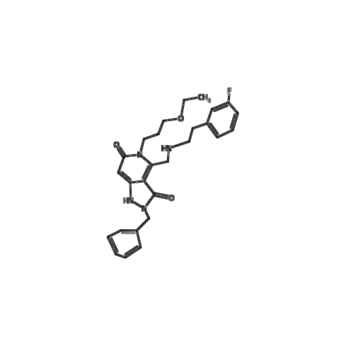 CCOCCCn1c(CNCCc2cccc(F)c2)c2c(=O)n(Cc3ccccc3)[nH]c2cc1=O